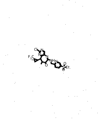 CCS(=O)(=O)c1ccc(CNC2=Nc3cnc(Cl)nc3C(C3C[C@@H]3C(F)(F)F)C(C)C2=O)nc1